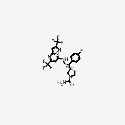 NC(=O)N1CC[C@@H]([C@@H](CNc2cc(C(F)(F)F)nc3cc(C(F)(F)F)nn23)c2ccc(F)cc2)C1